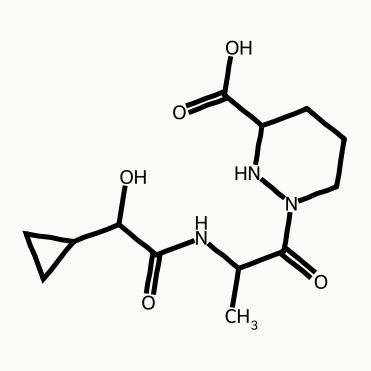 CC(NC(=O)C(O)C1CC1)C(=O)N1CCCC(C(=O)O)N1